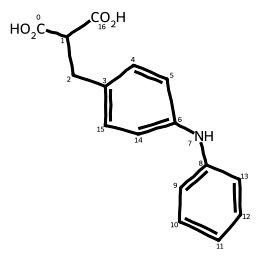 O=C(O)C(Cc1ccc(Nc2ccccc2)cc1)C(=O)O